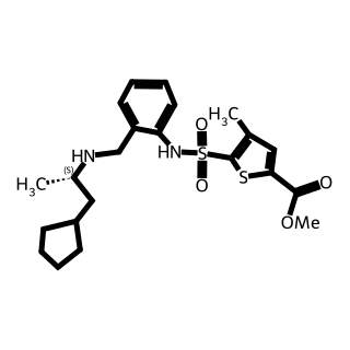 COC(=O)c1cc(C)c(S(=O)(=O)Nc2ccccc2CN[C@@H](C)CC2CCCC2)s1